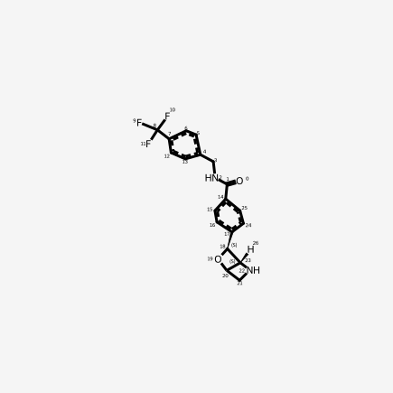 O=C(NCc1ccc(C(F)(F)F)cc1)c1ccc([C@@H]2OC3CN[C@H]32)cc1